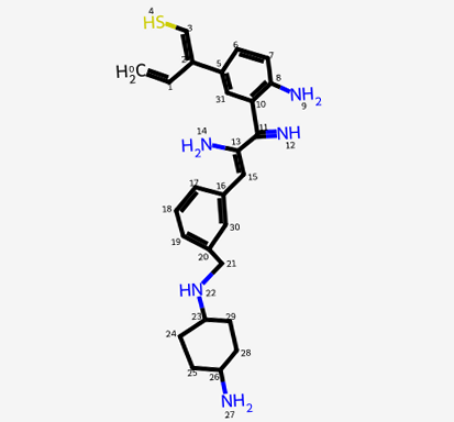 C=C/C(=C\S)c1ccc(N)c(C(=N)/C(N)=C/c2cccc(CNC3CCC(N)CC3)c2)c1